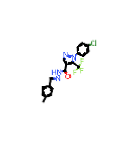 Cc1ccc(C=NNC(=O)c2cnn(-c3ccc(Cl)cc3)c2C(F)(F)F)cc1